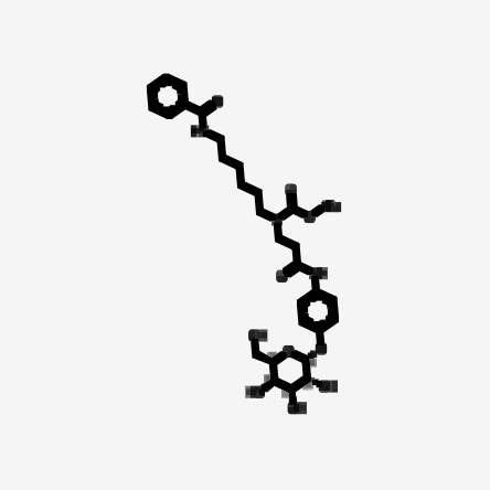 CC(C)(C)OC(=O)N(CCCCCCNC(=O)c1ccccc1)CCC(=O)Nc1ccc(O[C@H]2O[C@H](CO)[C@H](O)[C@H](O)[C@H]2O)cc1